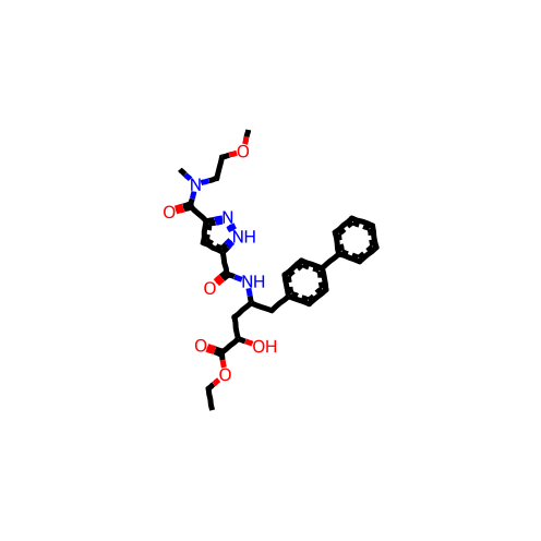 CCOC(=O)C(O)CC(Cc1ccc(-c2ccccc2)cc1)NC(=O)c1cc(C(=O)N(C)CCOC)n[nH]1